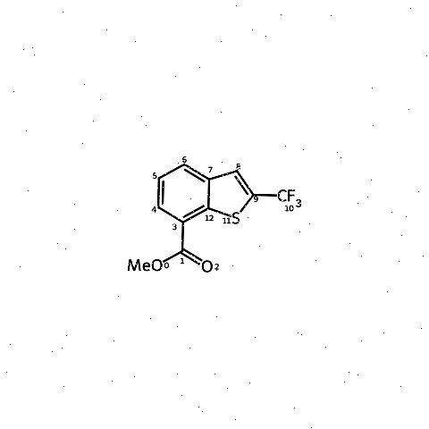 COC(=O)c1cccc2cc(C(F)(F)F)sc12